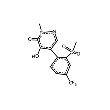 Cn1ncc(-c2ccc(C(F)(F)F)cc2S(C)(=O)=O)c(O)c1=O